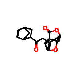 O=C1Oc2c(CC(=O)C3CC4C=CC3C4)c3cc1c2o3